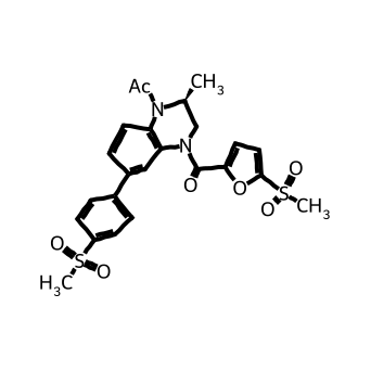 CC(=O)N1c2ccc(-c3ccc(S(C)(=O)=O)cc3)cc2N(C(=O)c2ccc(S(C)(=O)=O)o2)C[C@@H]1C